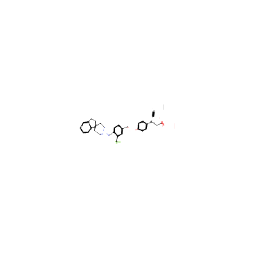 CC#C[C@@H](CC(=O)O)c1ccc(OCc2ccc(CN3CCC4(CCc5ccccc54)CC3)c(C(F)(F)F)c2)cc1